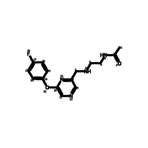 CC(=O)NCCNCc1cncc(Oc2ccc(F)cc2)n1